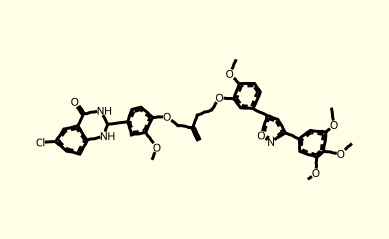 C=C(CCOc1cc(-c2cc(-c3cc(OC)c(OC)c(OC)c3)no2)ccc1OC)COc1ccc(C2NC(=O)c3cc(Cl)ccc3N2)cc1OC